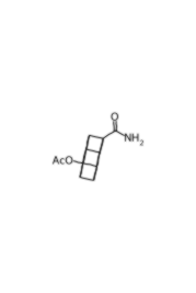 CC(=O)OC12C3C4C1C1C2C3C41C(N)=O